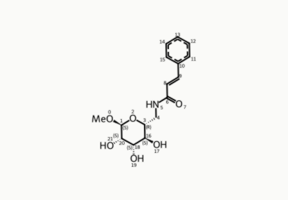 CO[C@H]1O[C@H](CNC(=O)C=Cc2ccccc2)[C@@H](O)[C@H](O)[C@@H]1O